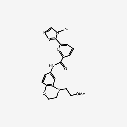 COCCN1CCOc2ccc(NC(=O)c3cccc(-c4nncn4C(C)C)n3)cc21